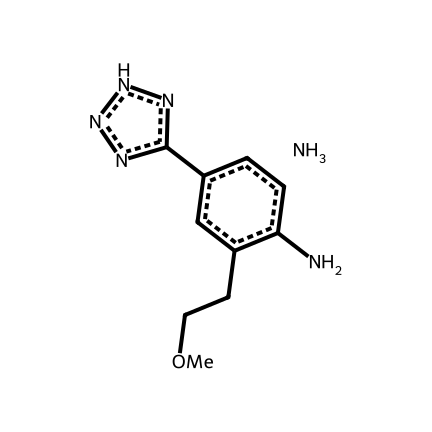 COCCc1cc(-c2nn[nH]n2)ccc1N.N